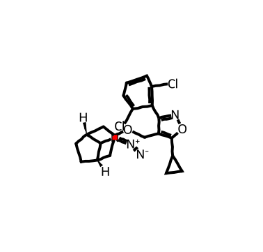 [N-]=[N+]=NC1[C@@H]2CC[C@H]1CC(OCc1c(-c3c(Cl)cccc3Cl)noc1C1CC1)C2